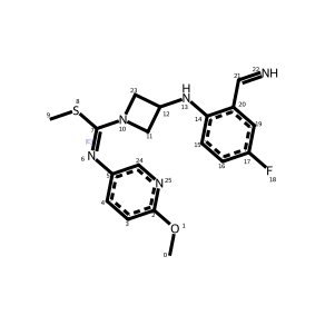 COc1ccc(/N=C(/SC)N2CC(Nc3ccc(F)cc3C=N)C2)cn1